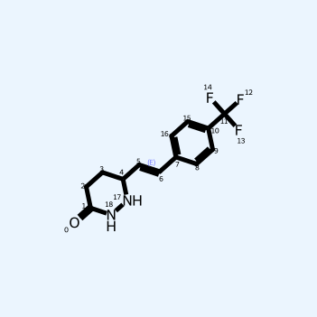 O=C1CCC(/C=C/c2ccc(C(F)(F)F)cc2)NN1